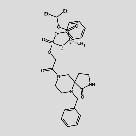 CCC(CC)OC(=O)[C@H](C)NP(=O)(OCC(=O)N1CCN(Cc2ccccc2)C2(CCNC2=O)C1)Oc1ccccc1